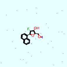 O[C@H]1[C@@H](F)[C@H](c2cccc3ccccc23)O[C@@H]1COI